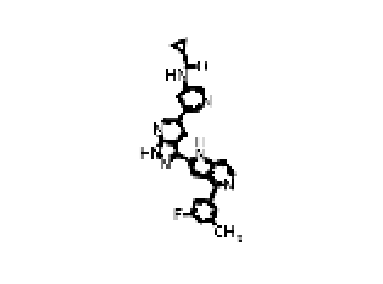 Cc1cc(F)cc(-c2nccc3[nH]c(-c4n[nH]c5ncc(-c6cncc(NC(=O)C7CC7)c6)cc45)cc23)c1